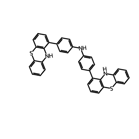 c1ccc2c(c1)Nc1c(cccc1-c1ccc(Nc3ccc(-c4cccc5c4Nc4ccccc4S5)cc3)cc1)S2